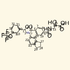 O=C(/C=C(\C(=O)c1ccc(C(=O)NC[C@@H](O)C(=O)O)cc1)c1ccc2c(c1)CCC2)c1cccc(OC(F)(F)F)c1